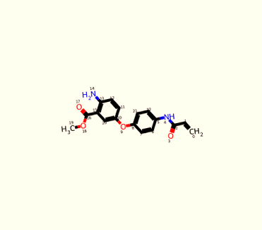 C=CC(=O)Nc1ccc(Oc2ccc(N)c(C(=O)OC)c2)cc1